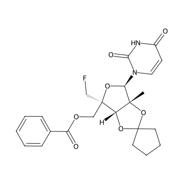 C[C@@]12OC3(CCCC3)O[C@@H]1[C@@](CF)(COC(=O)c1ccccc1)O[C@H]2n1ccc(=O)[nH]c1=O